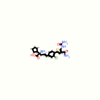 NC(=O)Nc1sc(-c2ccc(C=CC[C@@](N)(C(=O)O)C3CCCC3)cc2Cl)cc1C(N)=O